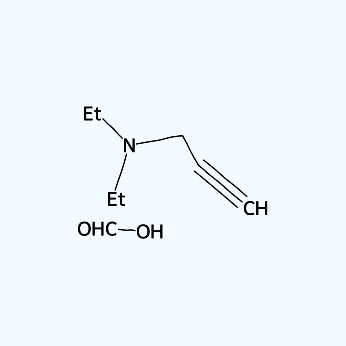 C#CCN(CC)CC.O=CO